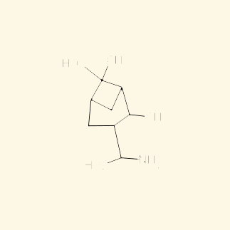 CC(N)C1CC2CC(C1C)C2(C)C